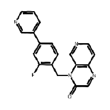 O=c1cnc2ccncc2n1Cc1ccc(-c2cccnc2)cc1F